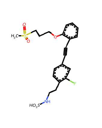 CS(=O)(=O)CCCOc1ccccc1C#Cc1ccc(CCNS(=O)(=O)O)c(F)c1